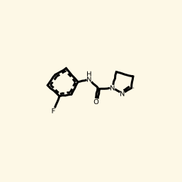 O=C(Nc1cccc(F)c1)N1CC[C]=N1